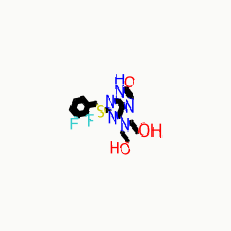 O=c1cnc2c(N(CCO)CCO)nc(SCc3cccc(F)c3F)nc2[nH]1